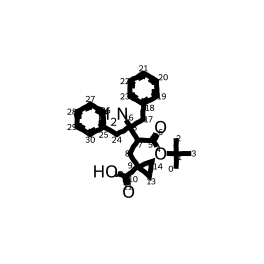 CC(C)(C)OC(=O)C(CC1(C(=O)O)CC1)C(N)(Cc1ccccc1)Cc1ccccc1